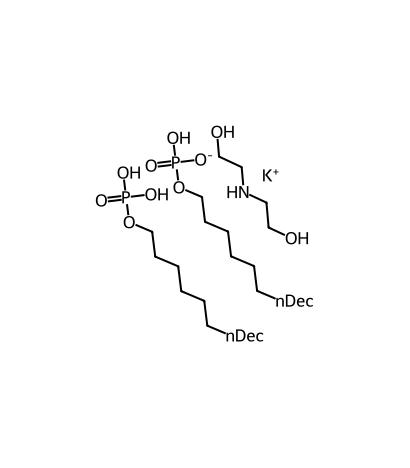 CCCCCCCCCCCCCCCCOP(=O)(O)O.CCCCCCCCCCCCCCCCOP(=O)([O-])O.OCCNCCO.[K+]